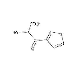 CC(C)C(C(=O)O)C(=O)c1ccsc1